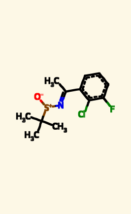 CC(=N[S+]([O-])C(C)(C)C)c1cccc(F)c1Cl